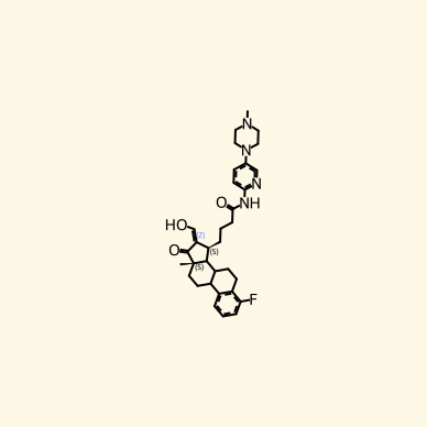 CN1CCN(c2ccc(NC(=O)CCC[C@@H]3/C(=C/O)C(=O)[C@@]4(C)CCC5c6cccc(F)c6CCC5C34)nc2)CC1